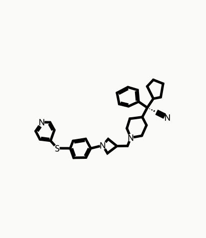 N#C[C@](c1ccccc1)(C1CCCC1)C1CCN(CC2CN(c3ccc(Sc4ccncc4)cc3)C2)CC1